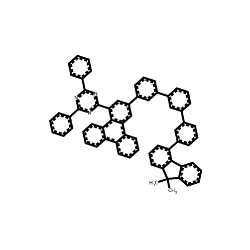 CC1(C)c2ccccc2-c2c(-c3cccc(-c4cccc(-c5cccc(-c6cc(-c7nc(-c8ccccc8)nc(-c8ccccc8)n7)c7c8ccccc8c8ccccc8c7c6)c5)c4)c3)cccc21